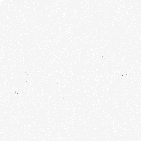 CCn1c(=O)c(-c2cc(NC(=O)Nc3ccccc3)c(F)cc2C)cc2cnc(NC(C)=O)cc21